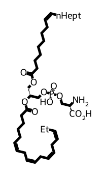 CC/C=C\C/C=C\C/C=C\C/C=C\CCCCC(=O)O[C@H](COC(=O)CCCCCCC/C=C\CCCCCCC)COP(=O)(O)OC[C@H](N)C(=O)O